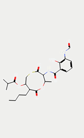 CCCCC1C(=O)OC(C)C(NC(=O)c2cccc(NC=O)c2O)C(=O)SCC1OC(=O)C(C)C